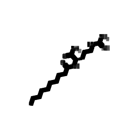 CCCCCCCCCC(=O)N[C@@H](CCCNC(=N)N)C(N)=O